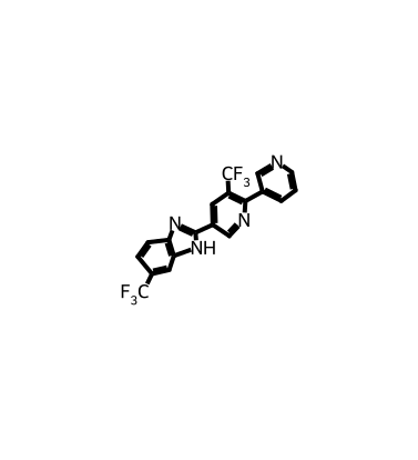 FC(F)(F)c1ccc2nc(-c3cnc(-c4cccnc4)c(C(F)(F)F)c3)[nH]c2c1